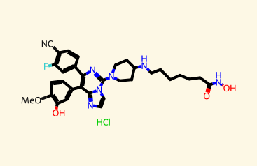 COc1ccc(-c2c(-c3ccc(C#N)c(F)c3)nc(N3CCC(NCCCCCCC(=O)NO)CC3)n3ccnc23)cc1O.Cl